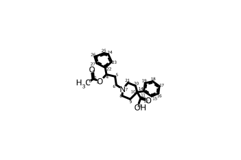 CC(=O)OC(CCN1CCC(C(=O)O)(c2ccccc2)CC1)c1ccccc1